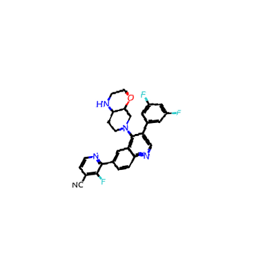 N#Cc1ccnc(-c2ccc3ncc(-c4cc(F)cc(F)c4)c(N4CCC5NCCOC5C4)c3c2)c1F